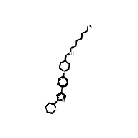 CCCCCCCNCC1CCN(c2ccc(-c3cnn(C4CCCCO4)c3)cc2)CC1